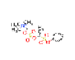 CC(OS(=O)(=O)OC[N+](C)(C)C)S(=O)(=O)Oc1ccccc1